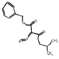 CC(C)CC(=O)C(=[N+]=[N-])C(=O)OCc1ccccc1